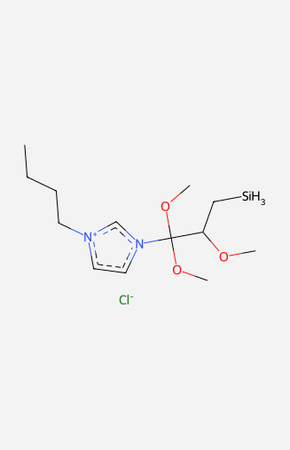 CCCC[n+]1ccn(C(OC)(OC)C(C[SiH3])OC)c1.[Cl-]